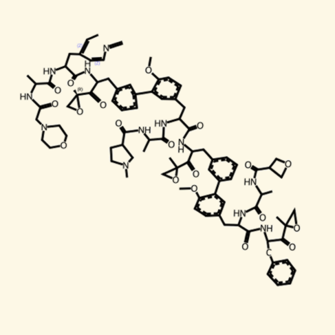 C=N/C=C\C(=C/C)CC(NC(=O)C(C)NC(=O)CN1CCOCC1)C(=O)NC(Cc1cccc(-c2cc(CC(NC(=O)C(C)NC(=O)C3CCN(C)C3)C(=O)NC(Cc3cccc(-c4cc(CC(NC(=O)C(C)NC(=O)C5COC5)C(=O)NC(Cc5ccccc5)C(=O)C5(C)CO5)ccc4OC)c3)C(=O)C3(C)CO3)ccc2OC)c1)C(=O)[C@@]1(C)CO1